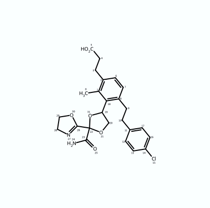 Cc1c(CCC(=O)O)ccc(CCc2ccc(Cl)cc2)c1C1COC(C(N)=O)(C2=NCCO2)O1